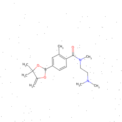 C=C1OB(c2ccc(C(=O)N(C)CCN(C)C)c(C)c2)OC1(C)C